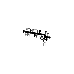 O=C(O)C(=C(F)C(F)(F)C(F)(F)C(F)(F)C(F)(F)C(F)(F)C(F)(F)C(F)(F)C(F)(F)F)C(F)(F)F